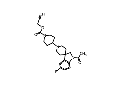 C#CCOC(=O)N1CCC(N2CCC3(CC2)CN(C(C)=O)c2ccc(F)cc23)CC1